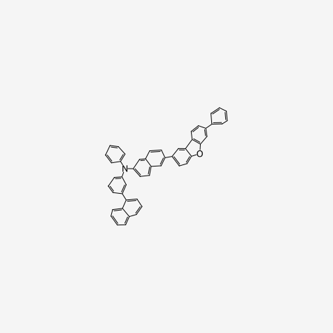 c1ccc(-c2ccc3c(c2)oc2ccc(-c4ccc5cc(N(c6ccccc6)c6cccc(-c7cccc8ccccc78)c6)ccc5c4)cc23)cc1